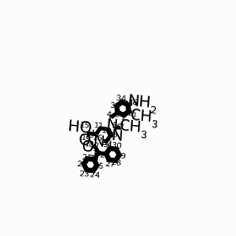 Cc1cc(Cn2c(C)nc3c2CC(C(=O)O)N(C(=O)C(c2ccccc2)c2ccccc2)C3)ccc1N